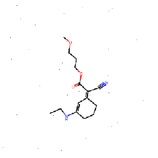 CCNC1=C/C(=C(/C#N)C(=O)OCCCOC)CCC1